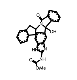 COC(=O)Nc1nc2cc(C3(O)c4ccccc4C(=O)N3C3Cc4ccccc4C3)ccc2[nH]1